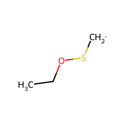 [CH2]SOCC